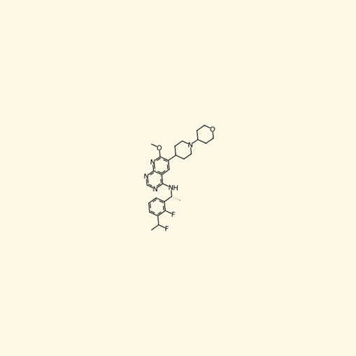 COc1nc2ncnc(N[C@H](C)c3cccc(C(C)F)c3F)c2cc1C1CCN(C2CCOCC2)CC1